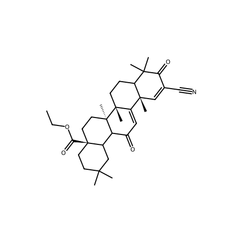 CCOC(=O)[C@]12CCC(C)(C)CC1C1C(=O)C=C3[C@@]4(C)C=C(C#N)C(=O)C(C)(C)C4CC[C@@]3(C)[C@]1(C)CC2